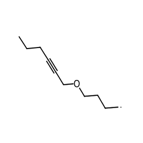 [CH2]CCCOCC#CCCC